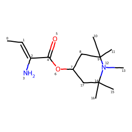 CC=C(N)C(=O)OC1CC(C)(C)N(C)C(C)(C)C1